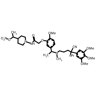 CCCC(C#N)(CCCN(C)C(C)c1ccc(OC)c(OCC(=O)NN2CCC(C(C)O[N+](=O)[O-])CC2)c1)c1cc(OC)c(OC)c(OC)c1